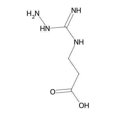 N=C(NN)NCCC(=O)O